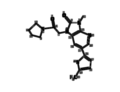 Cn1c(=O)n(CC(=O)N2CCCC2)c2cc(-c3ccc(C(F)(F)F)s3)cnc21